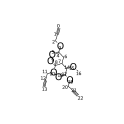 C#CCOC(=O)CC(C(=O)OCC#C)C(OC)C(=O)OCC#C